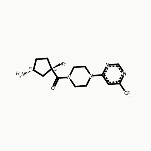 CC(C)[C@]1(C(=O)N2CCN(c3cc(C(F)(F)F)ncn3)CC2)CC[C@@H](N)C1